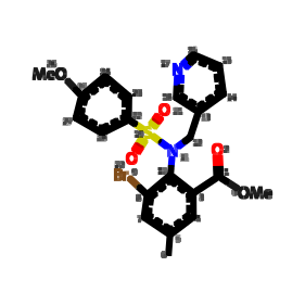 COC(=O)c1cc(C)cc(Br)c1N(Cc1cccnc1)S(=O)(=O)c1ccc(OC)cc1